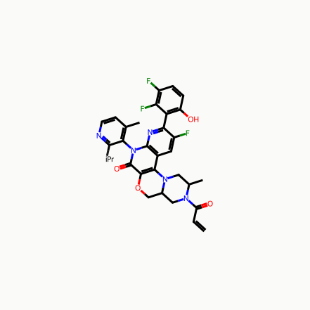 C=CC(=O)N1CC2COc3c(c4cc(F)c(-c5c(O)ccc(F)c5F)nc4n(-c4c(C)ccnc4C(C)C)c3=O)N2CC1C